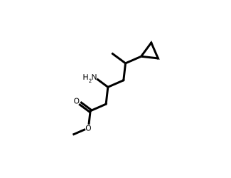 COC(=O)CC(N)CC(C)C1CC1